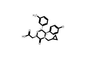 Cc1cccc([C@H]2O[C@H](CC(=O)O)C(=O)N(CC3CC3)[C@@H]2c2ccc(Cl)cc2)c1